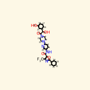 O=C(Nc1ccc(N2CCN(C(=O)C(O)c3cccc(O)c3)CC2)nc1)c1oc(-c2ccccc2)nc1C(F)(F)F